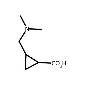 CN(C)CC1CC1C(=O)O